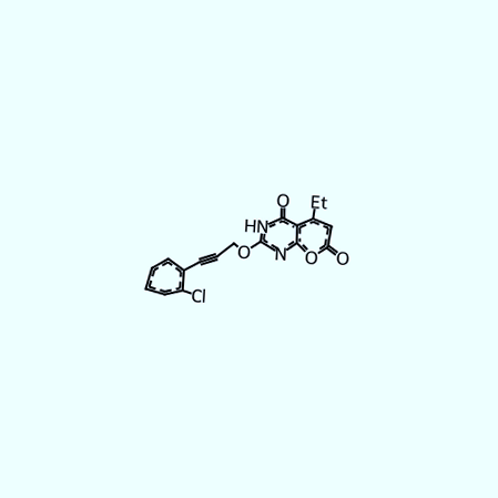 CCc1cc(=O)oc2nc(OCC#Cc3ccccc3Cl)[nH]c(=O)c12